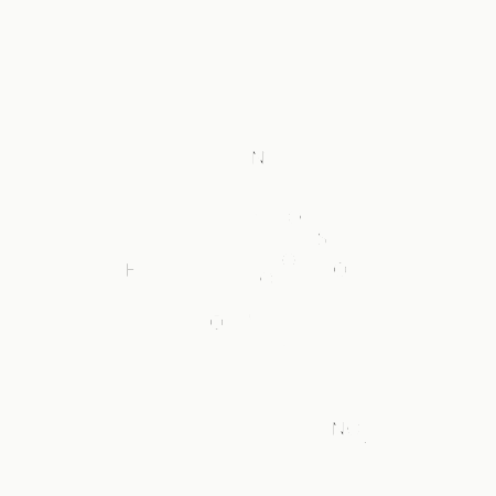 CS(=O)(=O)OC(COC(=O)c1ccc([N+](=O)[O-])cc1)C(c1cccc(F)c1)n1ccc2ccccc21